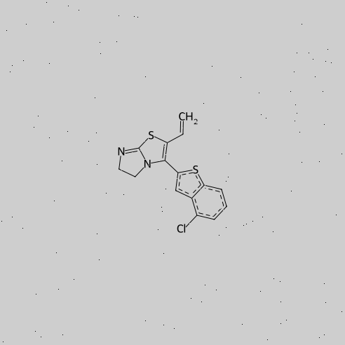 C=CC1=C(c2cc3c(Cl)cccc3s2)N2CCN=C2S1